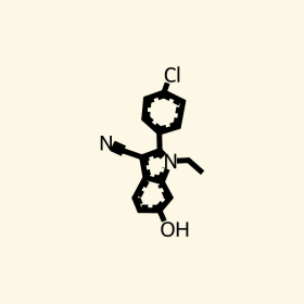 CCn1c(-c2ccc(Cl)cc2)c(C#N)c2ccc(O)cc21